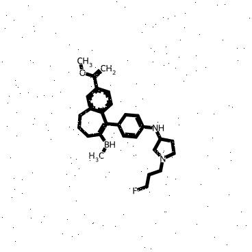 C=C(OC)c1ccc2c(c1)CCCC(BC)=C2C1C=CC(NC2CCN(CCCF)C2)=CC1